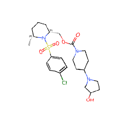 C[C@@H]1CCC[C@H](COC(=O)N2CCC(N3CCC(O)C3)CC2)N1S(=O)(=O)c1ccc(Cl)cc1